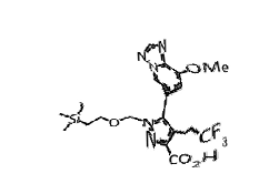 COc1cc(-c2c(CC(F)(F)F)c(C(=O)O)nn2COCC[Si](C)(C)C)cn2ncnc12